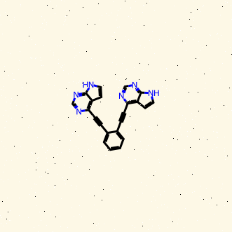 C(#Cc1ncnc2[nH]ccc12)c1ccccc1C#Cc1ncnc2[nH]ccc12